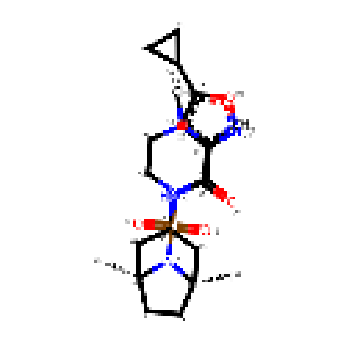 CC1CN(S(=O)(=O)N2[C@@H]3CC[C@H]2C[C@@H](NC(=O)c2cc(C4CC4)on2)C3)CCN1C